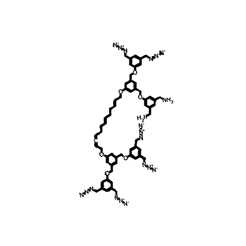 [N-]=[N+]=NCc1cc(CN=[N+]=[N-])cc(OCc2cc(COc3cc(CN=[N+]=[N-])cc(CN=[N+]=[N-])c3)cc(OCC=C=CCCC=CCC/C=C/COc3cc(COc4cc(CN)cc(CN)c4)cc(COc4cc(CN=[N+]=[N-])cc(CN=[N+]=[N-])c4)c3)c2)c1